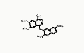 CNc1nc2ccc(OC)cc2cc1Cc1cnc(C)c2cc(OC)c(OC)cc12